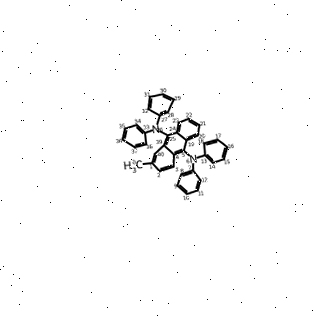 Cc1ccc2c(N(c3ccccc3)c3ccccc3)c3ccccc3c(N(c3ccccc3)c3ccccc3)c2c1